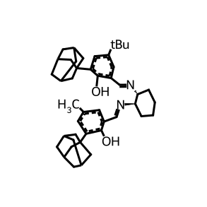 Cc1cc(/C=N/[C@@H]2CCCC[C@H]2/N=C/c2cc(C(C)(C)C)cc(C34CC5CC(CC(C5)C3)C4)c2O)c(O)c(C23CC4CC(CC(C4)C2)C3)c1